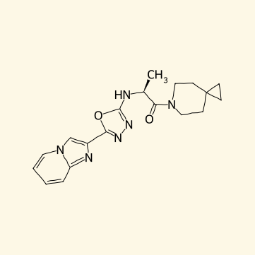 C[C@H](Nc1nnc(-c2cn3ccccc3n2)o1)C(=O)N1CCC2(CC1)CC2